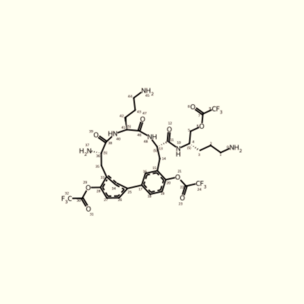 NCCC[C@@H](COC(=O)C(F)(F)F)NC(=O)[C@@H]1Cc2cc(ccc2OC(=O)C(F)(F)F)-c2ccc(OC(=O)C(F)(F)F)c(c2)C[C@H](N)C(=O)N[C@@H](CCCN)C(=O)N1